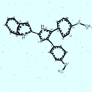 COc1ccc(-c2nc(-c3cc4ccccc4[nH]3)[nH]c2-c2ccc(OC)cc2)cc1